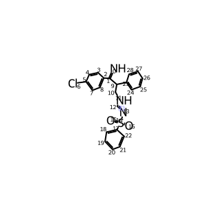 N=C(c1ccc(Cl)cc1)C(CN/C=N/S(=O)(=O)c1ccccc1)c1ccccc1